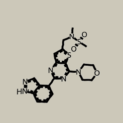 CN(Cc1cc2nc(-c3cccc4[nH]ncc34)nc(N3CCOCC3)c2s1)S(C)(=O)=O